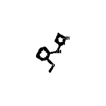 COc1ccccc1Nc1cc[nH]n1